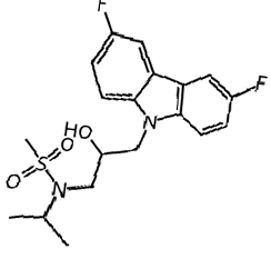 CC(C)N(CC(O)Cn1c2ccc(F)cc2c2cc(F)ccc21)S(C)(=O)=O